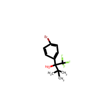 CC(C)(C)C(O)(c1ccc(Br)cc1)C(F)(F)F